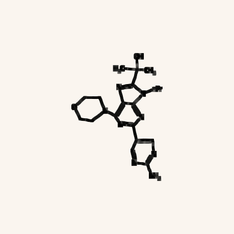 CCCn1c(C(C)(C)O)nc2c(N3CCOCC3)nc(-c3cnc(N)nc3)nc21